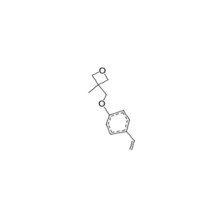 C=Cc1ccc(OCC2(C)COC2)cc1